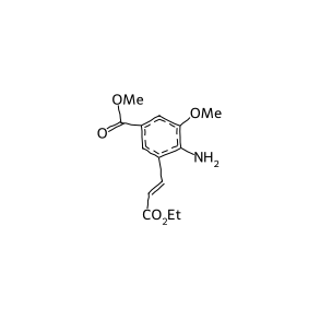 CCOC(=O)C=Cc1cc(C(=O)OC)cc(OC)c1N